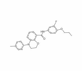 CCCOc1ccc(NC(=O)c2cccc3c2OCCN3c2ccc(C)cn2)cc1F